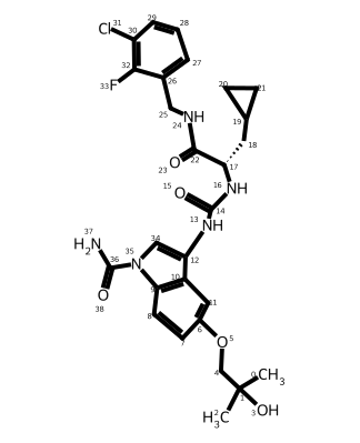 CC(C)(O)COc1ccc2c(c1)c(NC(=O)N[C@@H](CC1CC1)C(=O)NCc1cccc(Cl)c1F)cn2C(N)=O